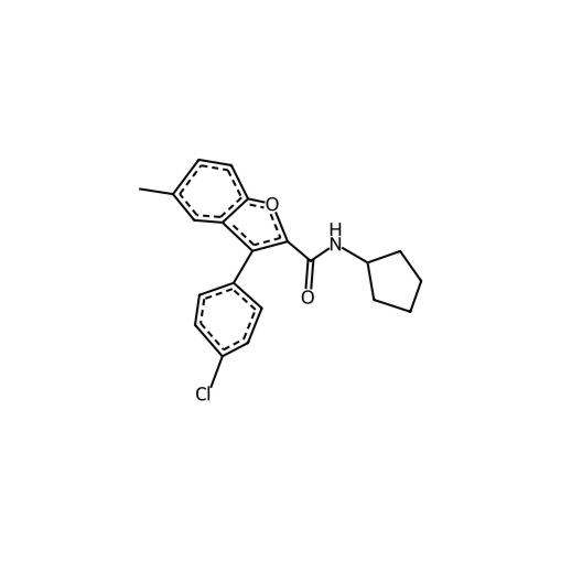 Cc1ccc2oc(C(=O)NC3CCCC3)c(-c3ccc(Cl)cc3)c2c1